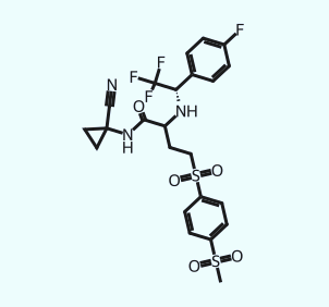 CS(=O)(=O)c1ccc(S(=O)(=O)CCC(N[C@@H](c2ccc(F)cc2)C(F)(F)F)C(=O)NC2(C#N)CC2)cc1